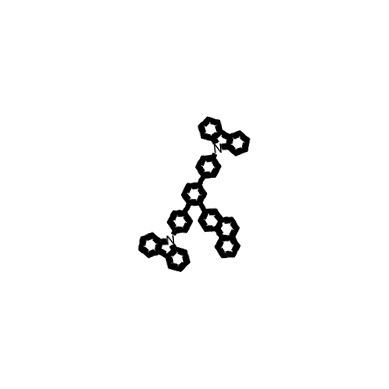 c1ccc2c(c1)ccc1cc(-c3cc(-c4ccc(-n5c6ccccc6c6ccccc65)cc4)ccc3-c3ccc(-n4c5ccccc5c5ccccc54)cc3)ccc12